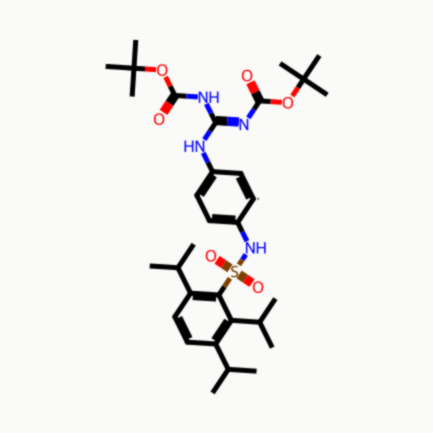 CC(C)c1ccc(C(C)C)c(S(=O)(=O)Nc2[c]cc(NC(=NC(=O)OC(C)(C)C)NC(=O)OC(C)(C)C)cc2)c1C(C)C